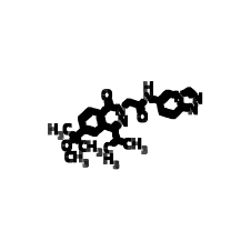 COC(C)(C)c1ccc2c(=O)n(CC(=O)Nc3ccc4nncn4c3)nc(C(C)C)c2c1